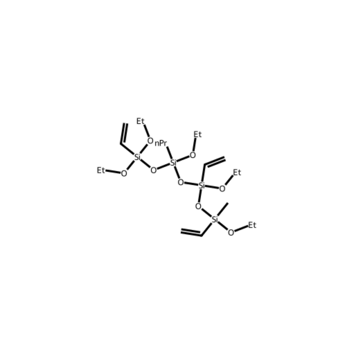 C=C[Si](C)(OCC)O[Si](C=C)(OCC)O[Si](CCC)(OCC)O[Si](C=C)(OCC)OCC